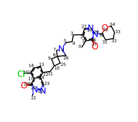 Cc1c(CCCN2CC3(CC(Cc4ccc(Cl)c5c(=O)n(C)ncc45)C3)C2)cnn(C2CCCCO2)c1=O